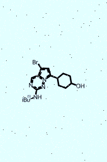 CC[C@H](C)Nc1ncc2c(Br)cc(C3CCC(O)CC3)n2n1